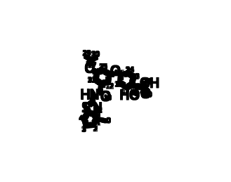 Cc1cccc2sc(NC(=O)c3cc(Oc4ccc(P(=O)(O)O)cc4)cc(OC(C)C)c3)nc12